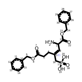 NC(/C=C(\CCC(=O)OCc1ccccc1)CP(=O)(O)O)C(=O)OCc1ccccc1